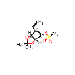 C=C[C@H]1C[C@H](OS(=O)(=O)C(F)(F)F)[C@@H]2OC(C)(C)O[C@@H]21